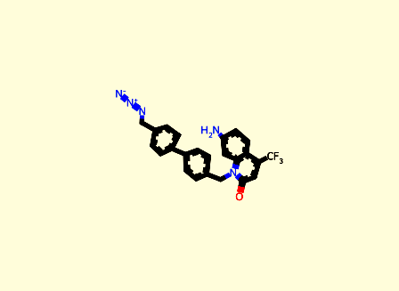 [N-]=[N+]=NCc1ccc(-c2ccc(Cn3c(=O)cc(C(F)(F)F)c4ccc(N)cc43)cc2)cc1